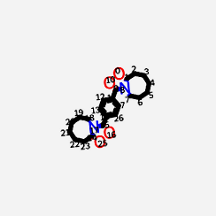 O=C1CCCCCCN1C(=O)c1ccc(C(=O)N2CCCCCCC2=O)cc1